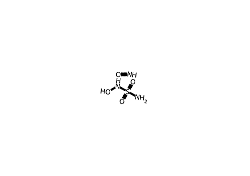 N=O.NS(=O)(=O)NO